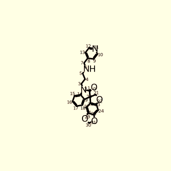 O=C1N(CCCNCc2ccncc2)c2ccccc2C12COc1cc3c(cc12)OCO3